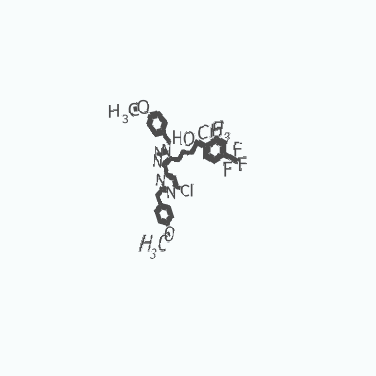 COc1ccc(Cc2nc(Cl)cc(-c3nnn(Cc4ccc(OC)cc4)c3CCCC(C)(O)c3ccc(C(F)(F)F)cc3F)n2)cc1